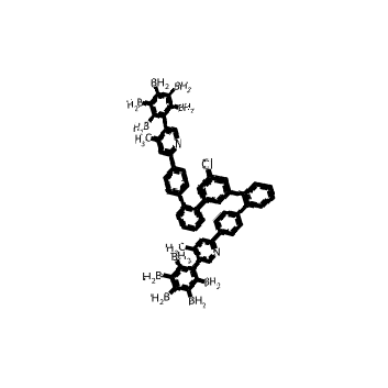 Bc1c(B)c(B)c(-c2cnc(-c3ccc(-c4ccccc4-c4cc(Cl)cc(-c5ccccc5-c5ccc(-c6cc(C)c(-c7c(B)c(B)c(B)c(B)c7B)cn6)cc5)c4)cc3)cc2C)c(B)c1B